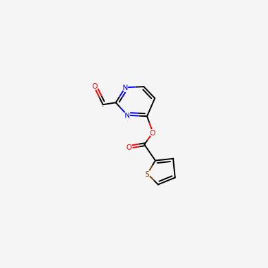 O=[C]c1nccc(OC(=O)c2cccs2)n1